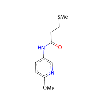 COc1ccc(NC(=O)CCSC)cn1